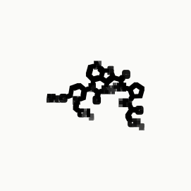 C=CC(=O)NC1CCCC1NC(=O)c1sc2nccc3c2c1NC(=O)N3C(/C=C\COC)=C/N=C\C